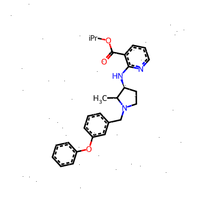 CC(C)OC(=O)c1cccnc1N[C@H]1CCN(Cc2cccc(Oc3ccccc3)c2)C1C